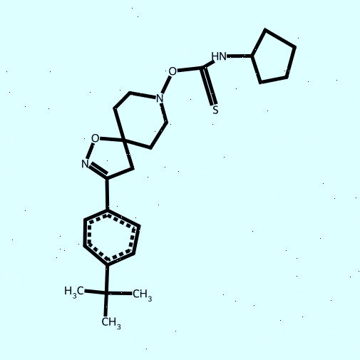 CC(C)(C)c1ccc(C2=NOC3(CCN(OC(=S)NC4CCCC4)CC3)C2)cc1